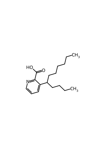 CCCCCCC(CCCC)c1cccnc1C(=O)O